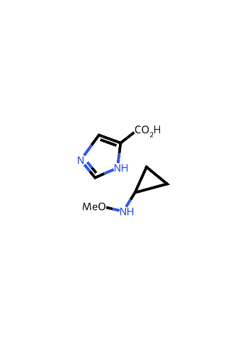 CONC1CC1.O=C(O)c1cnc[nH]1